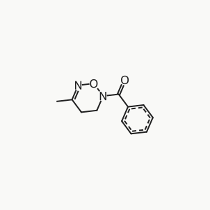 CC1=NON(C(=O)c2ccccc2)CC1